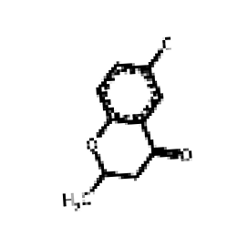 CC1CC(=O)c2cc(Cl)ccc2O1